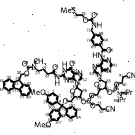 COc1ccc(C(OCC2OC(n3cnc4c(=O)[nH]c(NC(=O)CCCN(C)C(=O)OCC5c6ccccc6-c6ccccc65)nc43)CC2OP(OCCC#N)OCC2OC(n3cnc4c(NC(=O)c5ccc(CNC(=O)OCCSC)cc5)ncnc43)CC2OP(OCCC#N)N(C(C)C)C(C)C)(c2ccccc2)c2ccc(OC)cc2)cc1